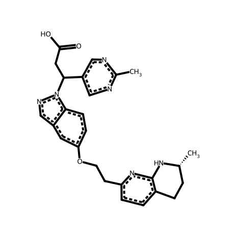 Cc1ncc(C(CC(=O)O)n2ncc3cc(OCCc4ccc5c(n4)N[C@H](C)CC5)ccc32)cn1